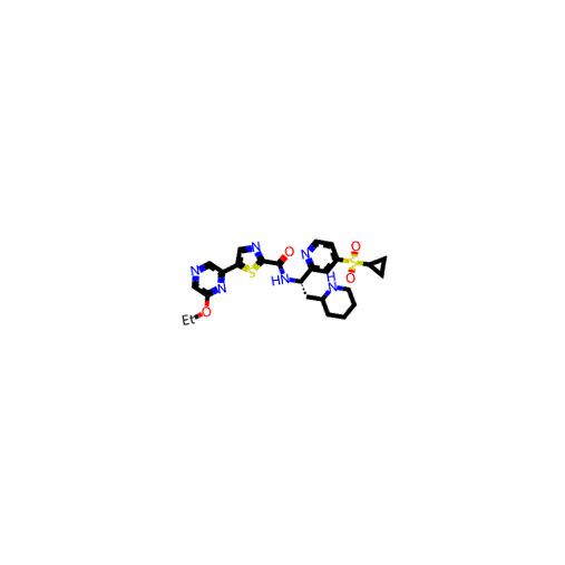 CCOc1cncc(-c2cnc(C(=O)N[C@@H](CC3CCCCN3)c3cc(S(=O)(=O)C4CC4)ccn3)s2)n1